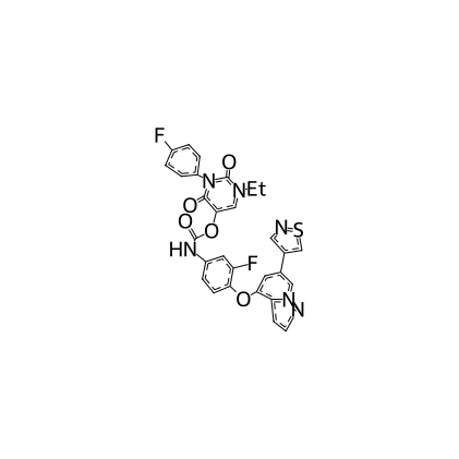 CCn1cc(OC(=O)Nc2ccc(Oc3cc(-c4cnsc4)cn4nccc34)c(F)c2)c(=O)n(-c2ccc(F)cc2)c1=O